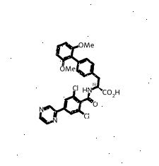 COc1cccc(OC)c1-c1ccc(C[C@H](NC(=O)c2c(Cl)cc(-c3cnccn3)cc2Cl)C(=O)O)cc1